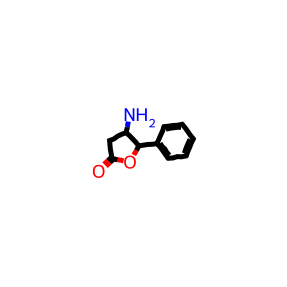 NC1CC(=O)OC1c1ccccc1